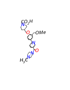 COCc1cc(-c2ccc(C(=O)N3CCN(C)CC3)cn2)ccc1OCC1CCN(C(=O)O)CC1